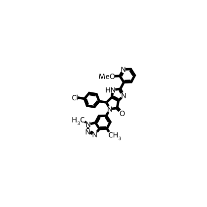 COc1ncccc1-c1nc2c([nH]1)C(c1ccc(Cl)cc1)N(c1cc(C)c3nnn(C)c3c1)C2=O